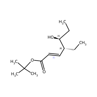 CC[C@H](O)[C@@H](/C=C/C(=O)OC(C)(C)C)CC